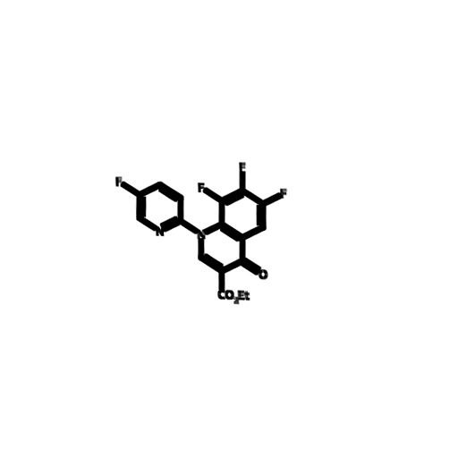 CCOC(=O)c1cn(-c2ccc(F)cn2)c2c(F)c(F)c(F)cc2c1=O